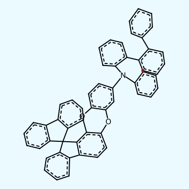 c1ccc(-c2ccccc2-c2ccccc2N(c2ccccc2)c2ccc3c(c2)Oc2ccc4c(c2O3)C2(c3ccccc3-c3ccccc32)c2ccccc2-4)cc1